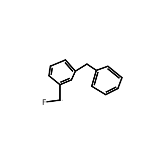 F[CH]c1cccc(Cc2ccccc2)c1